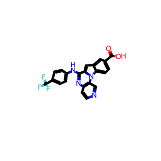 O=C(O)c1ccc2c(c1)cc1c(Nc3ccc(C(F)(F)F)cc3)nc3ccncc3n12